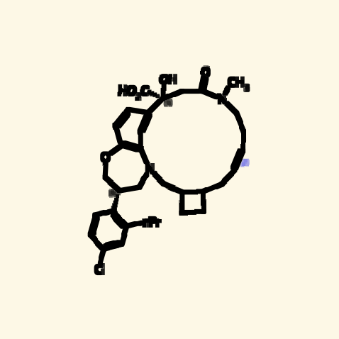 CCCc1cc(Cl)ccc1[C@@H]1COc2ccc3cc2N(CC2CCC2C/C=C\CCN(C)C(=O)C[C@@]3(O)C(=O)O)C1